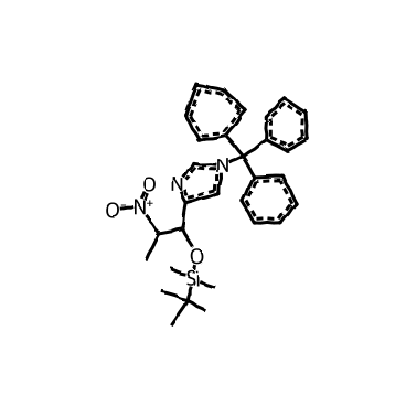 CC(C(O[Si](C)(C)C(C)(C)C)c1cn(C(c2ccccc2)(c2ccccc2)c2ccccc2)cn1)[N+](=O)[O-]